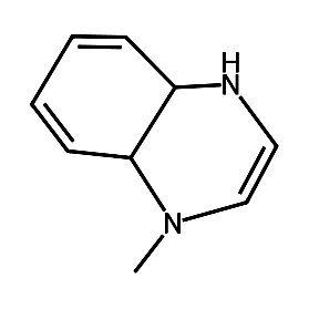 CN1C=CNC2C=CC=CC21